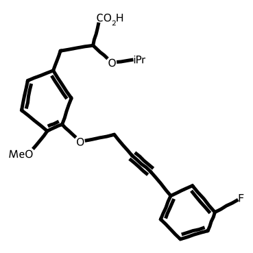 COc1ccc(CC(OC(C)C)C(=O)O)cc1OCC#Cc1cccc(F)c1